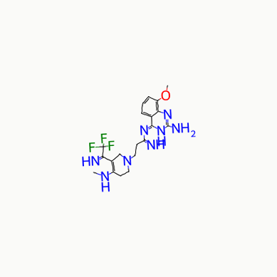 CNC1=C(C(=N)C(F)(F)F)CN(CCC(=N)/N=c2\[nH]c(N)nc3c(OC)cccc23)CC1